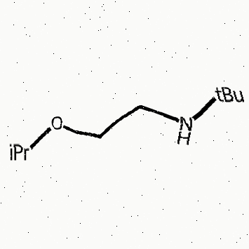 CC(C)OCCNC(C)(C)C